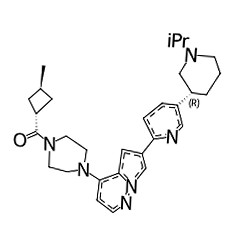 CC(C)N1CCC[C@H](c2ccc(-c3cc4c(N5CCN(C(=O)[C@H]6C[C@H](C)C6)CC5)ccnn4c3)nc2)C1